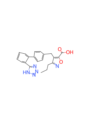 CCCc1noc(C(=O)O)c1Cc1ccc(-c2ccccc2-c2nnn[nH]2)cc1